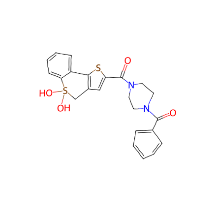 O=C(c1ccccc1)N1CCN(C(=O)c2cc3c(s2)-c2ccccc2S(O)(O)C3)CC1